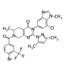 Cc1cc(C)n(-c2nc3c(c(=O)n2-c2cc(Cl)c4c(c2)ncn4C)CC(C)N(C(=O)c2ccc(Br)c(C(F)(F)F)c2)C3)n1